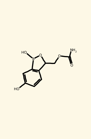 NC(=O)OCC1OB(O)c2cc(O)ccc21